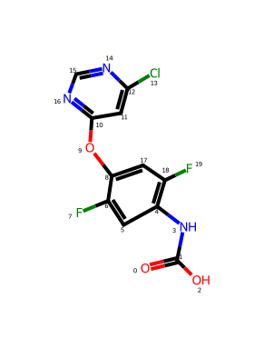 O=C(O)Nc1cc(F)c(Oc2cc(Cl)ncn2)cc1F